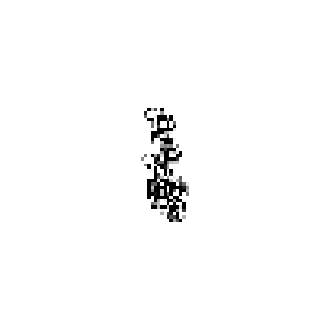 COC(=O)c1ccc2nc(Cc3ccc(-c4cccc(OCc5ccc(Cl)cc5F)n4)c(Cl)c3)n(CC3CCCO3)c2c1